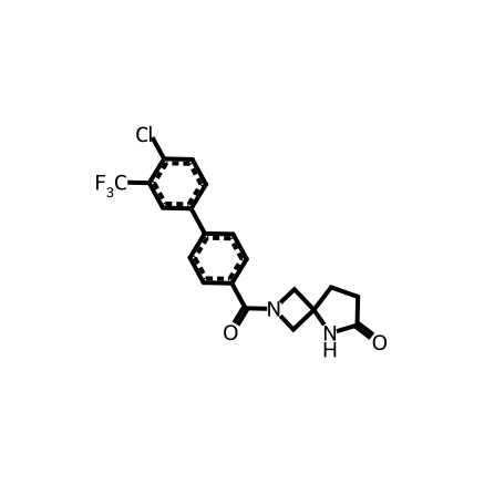 O=C1CCC2(CN(C(=O)c3ccc(-c4ccc(Cl)c(C(F)(F)F)c4)cc3)C2)N1